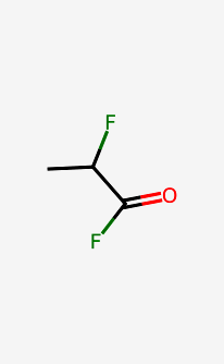 CC(F)C(=O)F